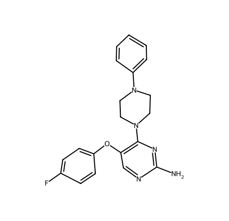 Nc1ncc(Oc2ccc(F)cc2)c(N2CCN(c3ccccc3)CC2)n1